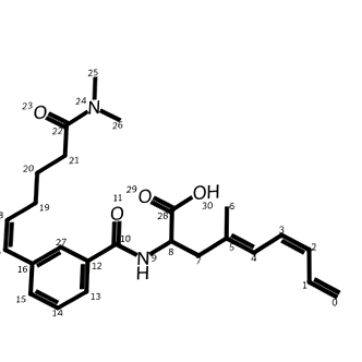 C=C/C=C\C=C(/C)CC(NC(=O)c1cccc(/C=C\CCCC(=O)N(C)C)c1)C(=O)O